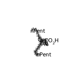 CCCCC/C=C\C/C=C\CCCCCCCCOc1cc(CC(CCN(C)C)C(=O)O)cc(OCCCCCCCC/C=C\C/C=C\CCCCC)c1